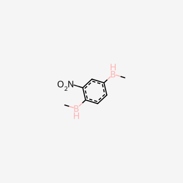 CBc1ccc(BC)c([N+](=O)[O-])c1